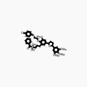 COc1cc(C2CCC(c3cc(OC)c(OC)c(OC)c3)O2)cc(C/C=C/[N+](O)(O)C(=O)c2ccccc2)c1OCCSc1ccc(Cl)cc1